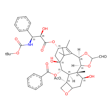 CC(=O)O[C@@]12COC1C[C@H](O)[C@@]1(C)[C@@H]3OC(C=O)O[C@@H]3C3=C(C)[C@@H](OC(=O)[C@H](O)[C@@H](NC(=O)OC(C)(C)C)c4ccccc4)C[C@@](O)([C@@H](OC(=O)c4ccccc4)[C@@H]12)C3(C)C